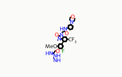 COc1cc(-c2cc(C(F)(F)F)cc3c2n(C)c(=O)n3CC(=O)Nc2cccc(N3CCOCC3)c2)cc(F)c1OCC(=N)NC=N